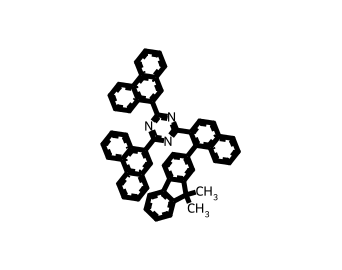 CC1(C)c2ccccc2-c2ccc(-c3c(-c4nc(-c5cc6ccccc6c6ccccc56)nc(-c5cc6ccccc6c6ccccc56)n4)ccc4ccccc34)cc21